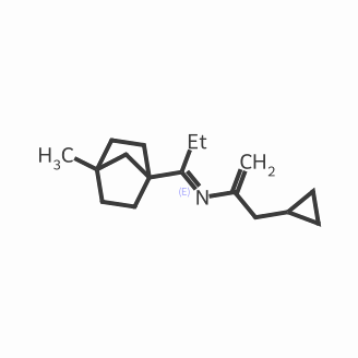 C=C(CC1CC1)/N=C(\CC)C12CCC(C)(CC1)C2